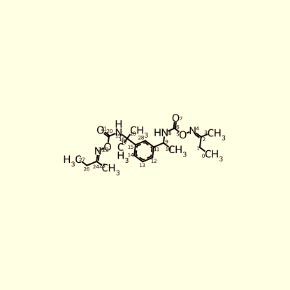 CC/C(C)=N\OC(=O)NC(C)c1cccc(C(C)(C)NC(=O)O/N=C(\C)CC)c1